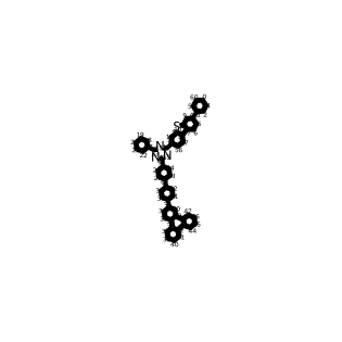 c1ccc(-c2ccc3c(c2)sc2cc(-c4nc(-c5ccccc5)nc(-c5ccc(-c6ccc(-c7ccc8c9ccccc9c9ccccc9c8c7)cc6)cc5)n4)ccc23)cc1